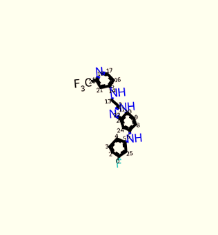 Fc1cccc(Nc2ccc3[nH]c(CNc4ccnc(C(F)(F)F)c4)nc3c2)c1